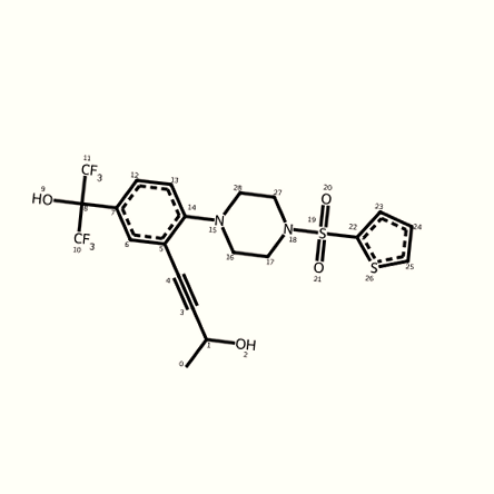 CC(O)C#Cc1cc(C(O)(C(F)(F)F)C(F)(F)F)ccc1N1CCN(S(=O)(=O)c2cccs2)CC1